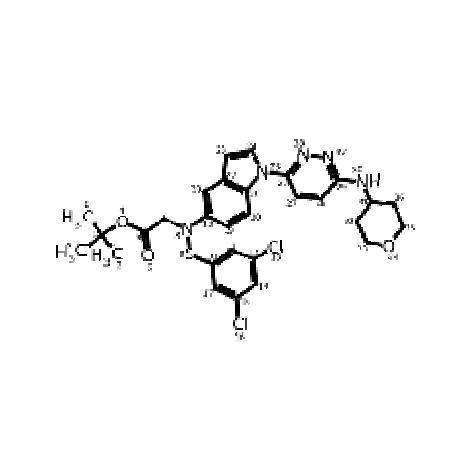 CC(C)(C)OC(=O)CN(Sc1cc(Cl)cc(Cl)c1)c1ccc2c(ccn2-c2ccc(NC3CCOCC3)nn2)c1